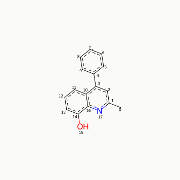 Cc1cc(-c2cc[c]cc2)c2cccc(O)c2n1